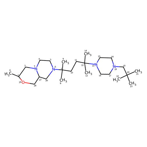 CC1CN2CCN(C(C)(C)CCC(C)(C)N3CCN(CC(C)(C)C)CC3)CC2CO1